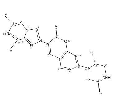 Cc1cn2cc(-c3cc4ccc(N5C[C@H](C)NC[C@H]5C)nc4oc3=O)nc2c(C)n1